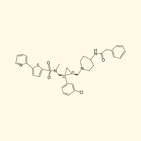 CN(C[C@@]1(c2cccc(Cl)c2)C[C@H]1CN1CCC(NC(=O)Cc2ccccc2)CC1)S(=O)(=O)c1ccc(-c2ccccn2)s1